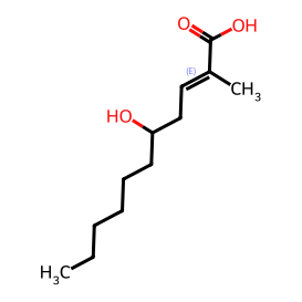 CCCCCCC(O)C/C=C(\C)C(=O)O